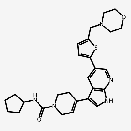 O=C(NC1CCCC1)N1CC=C(c2c[nH]c3ncc(-c4ccc(CN5CCOCC5)s4)cc23)CC1